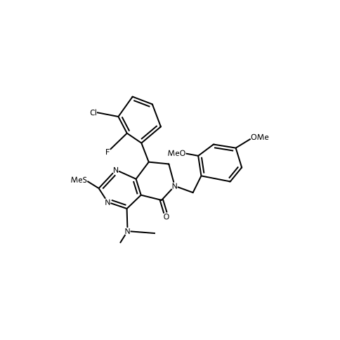 COc1ccc(CN2CC(c3cccc(Cl)c3F)c3nc(SC)nc(N(C)C)c3C2=O)c(OC)c1